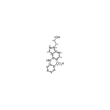 O=C(O)c1ccccc1Nc1ncnc2c1cnn2CCO